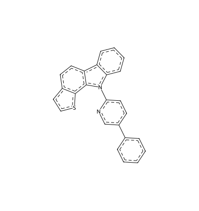 c1ccc(-c2ccc(-n3c4ccccc4c4ccc5ccsc5c43)nc2)cc1